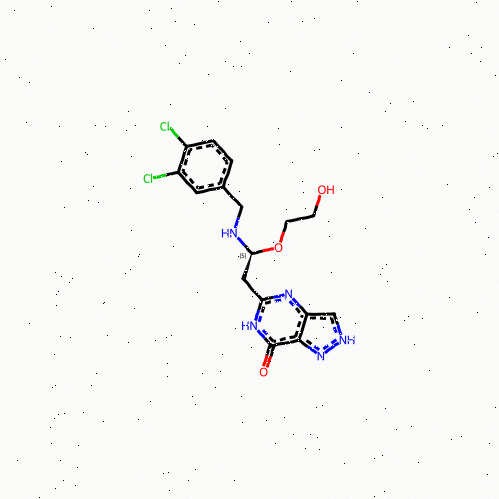 O=c1[nH]c(C[C@@H](NCc2ccc(Cl)c(Cl)c2)OCCO)nc2c[nH]nc12